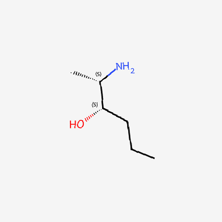 [CH2][C@H](N)[C@@H](O)CCC